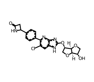 O=C1CC(c2ccc(-c3nc4nc(O[C@@H]5CO[C@H]6[C@@H]5OC[C@H]6O)[nH]c4cc3Cl)cc2)N1